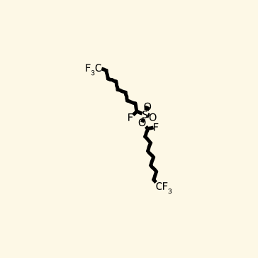 O=S(=O)(OC(F)CCCCCCCC(F)(F)F)C(F)CCCCCCCC(F)(F)F